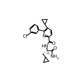 NC(=O)[C@H](CC1CC1)NC(=O)c1ccc(C2CC2)c(-c2cccc(Cl)c2)n1